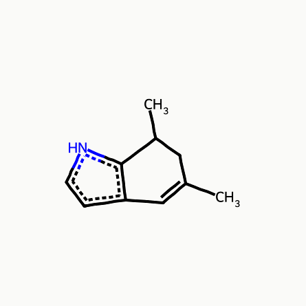 CC1=Cc2cc[nH]c2C(C)C1